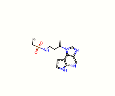 C=C(CCNS(=O)(=O)CC(C)C)n1cnc2cnc3[nH]ccc3c21